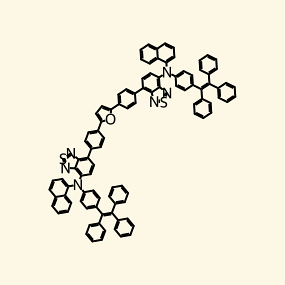 c1ccc(C(=C(c2ccccc2)c2ccc(N(c3ccc(-c4ccc(-c5ccc(-c6ccc(-c7ccc(N(c8ccc(C(=C(c9ccccc9)c9ccccc9)c9ccccc9)cc8)c8cccc9ccccc89)c8c7N=S=N8)cc6)o5)cc4)c4c3N=S=N4)c3cccc4ccccc34)cc2)c2ccccc2)cc1